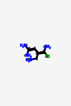 NC/C(C=C(N)N)=C(/N)Cl